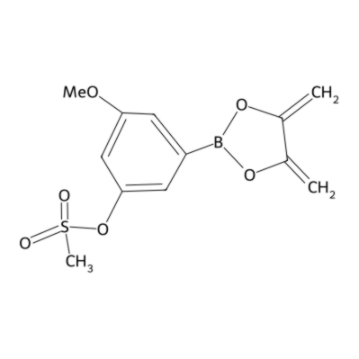 C=C1OB(c2cc(OC)cc(OS(C)(=O)=O)c2)OC1=C